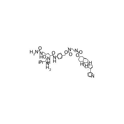 CC(C)[C@H](N)C(=O)N[C@@H](CCCNC(N)=O)C(=O)Nc1ccc(COC(=O)N(C)CCN(C)C(=O)O[C@H]2CC[C@@]3(C)C(=CC[C@@H]4[C@@H]3CC[C@]3(C)C(c5cccnc5)=CC[C@@H]43)C2)cc1